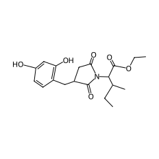 CCOC(=O)C(C(C)CC)N1C(=O)CC(Cc2ccc(O)cc2O)C1=O